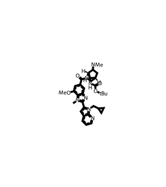 CNC1C[C@@H]2CN(C(=O)c3cc(OC)c4c(c3)nc(-c3cc5cccnc5n3CC3CC3)n4C)[C@H]1[C@@H]2NC(=O)OC(C)(C)C